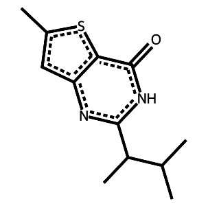 Cc1cc2nc(C(C)C(C)C)[nH]c(=O)c2s1